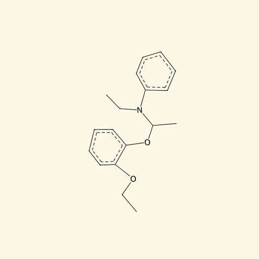 CCOc1ccccc1OC(C)N(CC)c1ccccc1